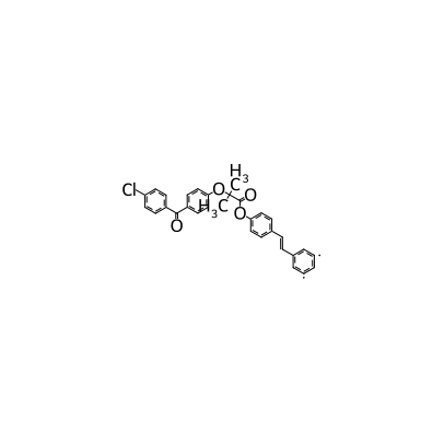 CC(C)(Oc1ccc(C(=O)c2ccc(Cl)cc2)cc1)C(=O)Oc1ccc(/C=C/c2c[c]c[c]c2)cc1